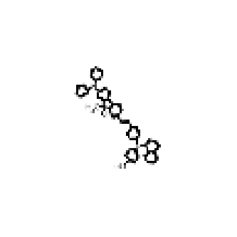 CC(C)(C)c1ccc(N(c2ccc(/C=C/c3ccc4c(c3)C(C)(C)c3cc(N(c5ccccc5)c5ccccc5)ccc3-4)cc2)c2cccc3ccccc23)cc1